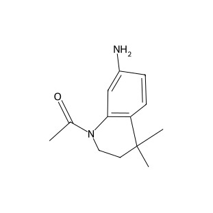 CC(=O)N1CCC(C)(C)c2ccc(N)cc21